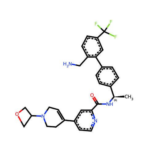 C[C@@H](NC(=O)c1cc(C2=CCN(C3COC3)CC2)ccn1)c1ccc(-c2cc(C(F)(F)F)ccc2CN)cc1